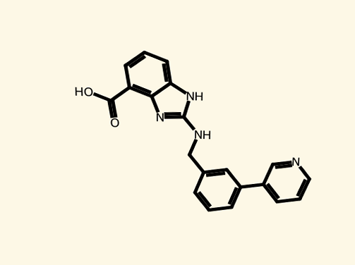 O=C(O)c1cccc2[nH]c(NCc3cccc(-c4cccnc4)c3)nc12